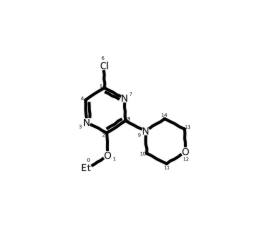 CCOc1ncc(Cl)nc1N1CCOCC1